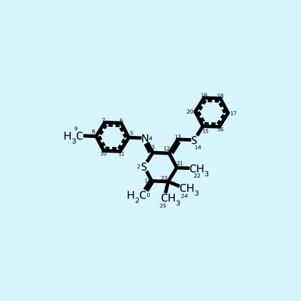 C=C1SC(=N\c2ccc(C)cc2)/C(=C/Sc2ccccc2)C(C)C1(C)C